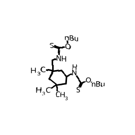 CCCCOC(=S)NCC1(C)CC(NC(=S)OCCCC)CC(C)(C)C1